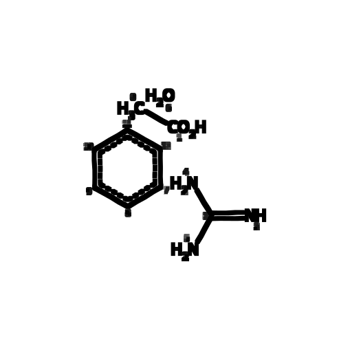 CC(=O)O.N=C(N)N.O.c1ccccc1